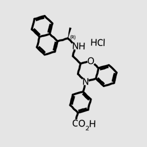 C[C@@H](NCC1CN(c2ccc(C(=O)O)cc2)c2ccccc2O1)c1cccc2ccccc12.Cl